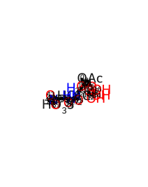 CC(=O)OCc1ccc(O[C@@H]2OC(C(=O)O)[C@@H](O)[C@H](O)[C@H]2O)cc1OCCCNC(=O)[C@H](CS(=O)(=O)O)NC(=O)CCCCCN1C(=O)C=CC1=O